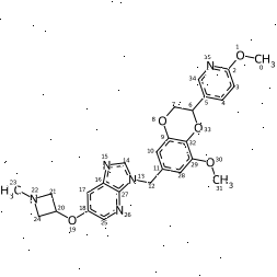 COc1ccc(C2COc3cc(Cn4cnc5cc(OC6CN(C)C6)cnc54)cc(OC)c3O2)cn1